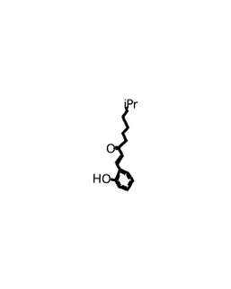 CC(C)CCCCCC(=O)C=Cc1ccccc1O